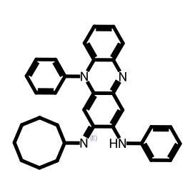 c1ccc(Nc2cc3nc4ccccc4n(-c4ccccc4)c-3c/c2=N\C2CCCCCCC2)cc1